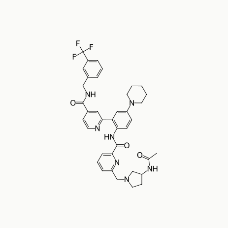 CC(=O)NC1CCN(Cc2cccc(C(=O)Nc3ccc(N4CCCCC4)cc3-c3cc(C(=O)NCc4cccc(C(F)(F)F)c4)ccn3)n2)C1